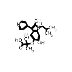 Cc1c(-c2ccncc2)c2cc(OC(C)(C)C(=O)O)ccc2n1CC(C)C.Cl